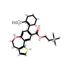 CCOC(=O)C1=C(c2cc3c(cc2C(=O)OCC[Si](C)(C)C)-c2sccc2CCO3)CCCC1